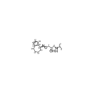 CC(C)NCC(O)CO/N=C1\CCCCc2sccc21